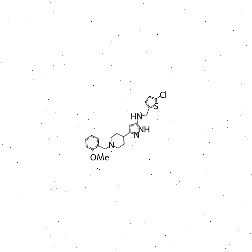 COc1ccccc1CN1CCC(c2cc(NCc3ccc(Cl)s3)[nH]n2)CC1